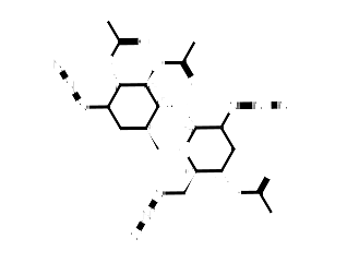 CC(=O)O[C@H]1[C@H](O[C@H]2O[C@H](CN=[N+]=[N-])[C@@H](OC(C)=O)CC2N=[N+]=[N-])[C@@H](C)CC(N=[N+]=[N-])[C@@H]1OC(C)=O